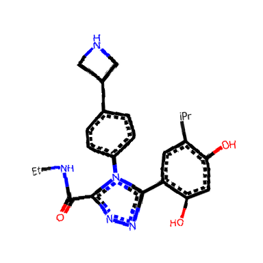 CCNC(=O)c1nnc(-c2cc(C(C)C)c(O)cc2O)n1-c1ccc(C2CNC2)cc1